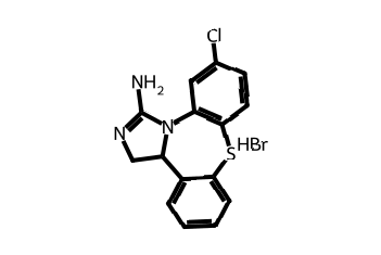 Br.NC1=NCC2c3ccccc3Sc3ccc(Cl)cc3N12